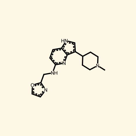 CN1CCC(c2c[nH]c3ccc(NCc4ncco4)nc23)CC1